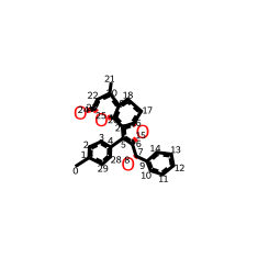 Cc1ccc(-c2c(C(=O)c3ccccc3)oc3ccc4c(C)cc(=O)oc4c23)cc1